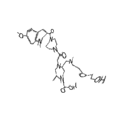 COc1ccc2cc(C(=O)N3CCN(C(=O)CN4CC(C)N(C(=O)O)CC4CN(C)CCOCCO)CC3)n(C)c2c1